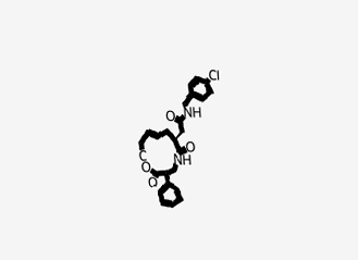 O=C(C[C@@H]1C/C=C/CCOC(=O)C(c2ccccc2)CNC1=O)NCc1ccc(Cl)cc1